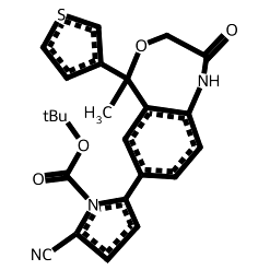 CC(C)(C)OC(=O)n1c(C#N)ccc1-c1ccc2c(c1)C(C)(c1ccsc1)OCC(=O)N2